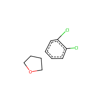 C1CCOC1.Clc1ccccc1Cl